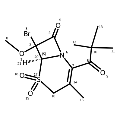 COC1(Br)C(=O)N2C(C(=O)C(C)(C)C)=C(C)CS(=O)(=O)[C@H]21